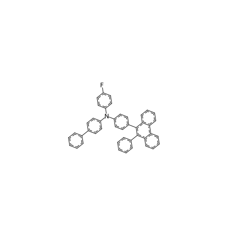 Fc1ccc(N(c2ccc(-c3ccccc3)cc2)c2ccc(-c3c(-c4ccccc4)c4ccccc4c4ccccc34)cc2)cc1